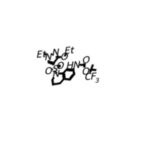 CCOc1nn(CC)cc1S(=O)(=O)N1CCCc2ccc(NC(=O)OC(C)(C)C(F)(F)F)cc21